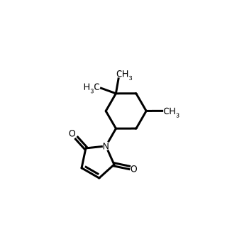 CC1CC(N2C(=O)C=CC2=O)CC(C)(C)C1